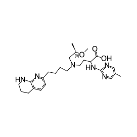 CO[C@H](C)CN(CCCCc1ccc2c(n1)NCCC2)CCC(Nc1ncc(C)cn1)C(=O)O